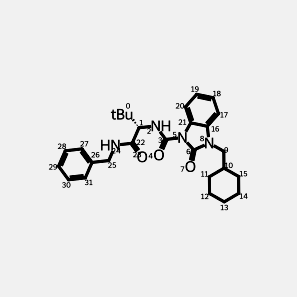 CC(C)(C)[C@H](NC(=O)n1c(=O)n(CC2CCCCC2)c2ccccc21)C(=O)NCc1ccccc1